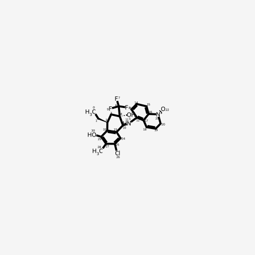 CC[C@H]1C[C@@](O)(C(F)(F)F)C(Nc2cccc3c2C=CC[N+]3=O)c2cc(Cl)c(C)c(O)c21